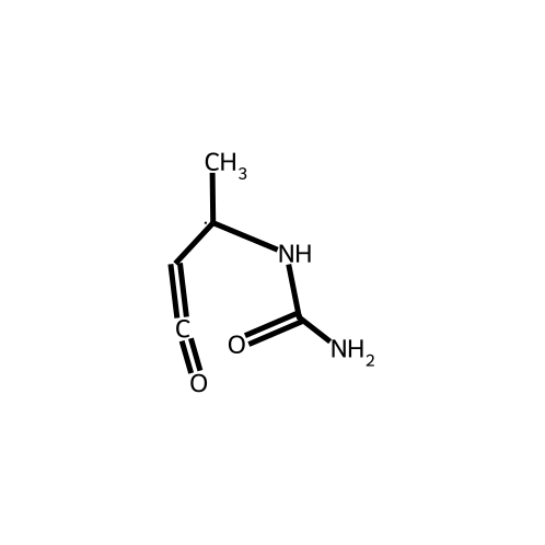 C[C](C=C=O)NC(N)=O